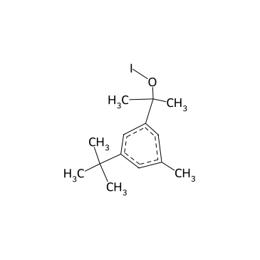 Cc1cc(C(C)(C)C)cc(C(C)(C)OI)c1